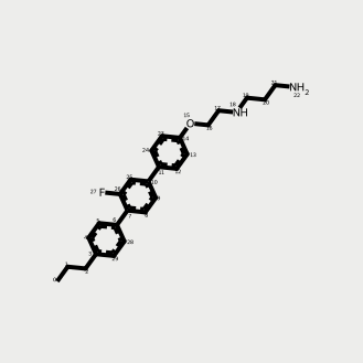 CCCc1ccc(-c2ccc(-c3ccc(OCCNCCCN)cc3)cc2F)cc1